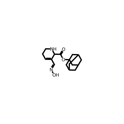 O=C(OC12CC3CC(CC(C3)C1)C2)C1NCCC=C1C=NO